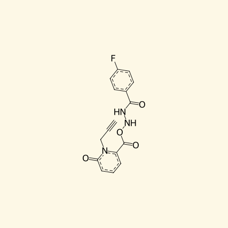 C#CCn1c(C(=O)ONNC(=O)c2ccc(F)cc2)cccc1=O